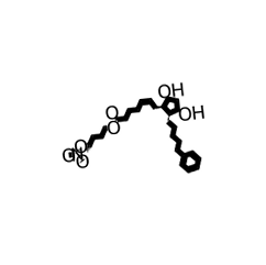 O=C(CCC/C=C\C[C@@H]1[C@@H](CCCCCc2ccccc2)[C@H](O)C[C@@H]1O)OCCCCO[N+](=O)[O-]